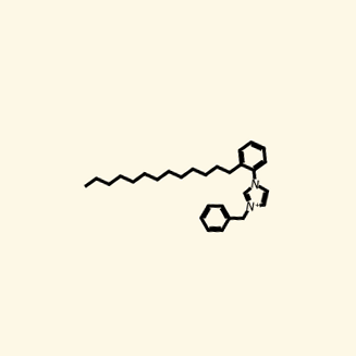 CCCCCCCCCCCCCc1ccccc1-n1cc[n+](Cc2ccccc2)c1